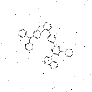 C1=CC(c2nc(-c3ccc(-c4cccc5oc6cc(N(c7ccccc7)c7ccccc7)ccc6c45)cc3)nc(-c3cccc4ccccc34)n2)=CCC1